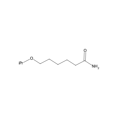 CC(C)OCCCCCC(N)=O